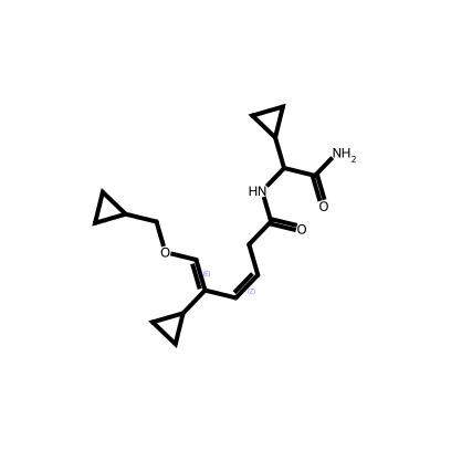 NC(=O)C(NC(=O)C/C=C\C(=C\OCC1CC1)C1CC1)C1CC1